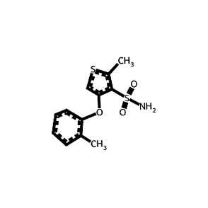 Cc1ccccc1Oc1csc(C)c1S(N)(=O)=O